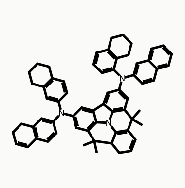 CC1(C)C2=C3C(CC=C2)C(C)(C)c2cc(N(c4ccc5c(c4)CCC=C5)c4ccc5c(c4)CCCC5)cc4c5cc(N(c6ccc7ccccc7c6)c6cccc7c6CCCC7)cc1c5n3c24